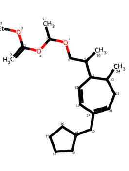 C=C(OCC)OC(C)OCC(C)C1C=CC(CC2CCCC2)=CCC1C